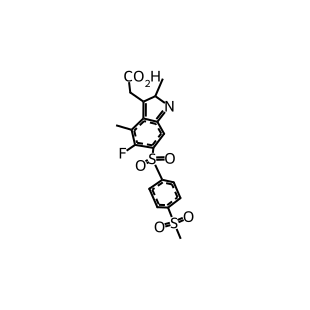 Cc1c(F)c(S(=O)(=O)c2ccc(S(C)(=O)=O)cc2)cc2c1=C(CC(=O)O)C(C)N=2